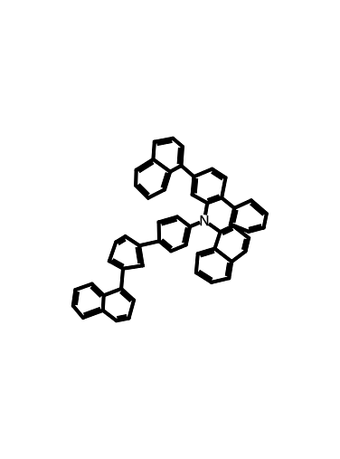 c1ccc(-c2ccc(-c3cccc4ccccc34)cc2N(c2ccc(-c3cccc(-c4cccc5ccccc45)c3)cc2)c2cccc3ccccc23)cc1